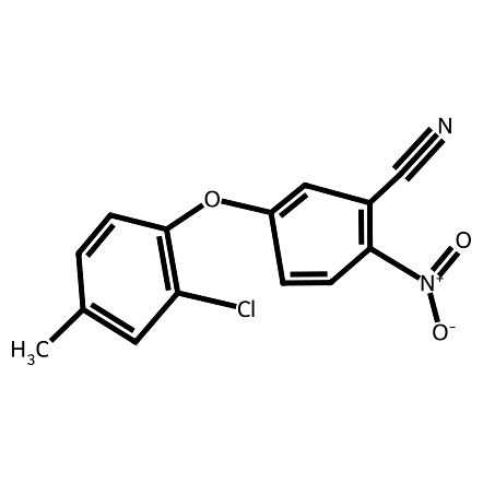 Cc1ccc(Oc2ccc([N+](=O)[O-])c(C#N)c2)c(Cl)c1